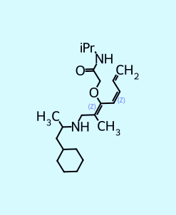 C=C/C=C\C(OCC(=O)NC(C)C)=C(/C)CNC(C)CC1CCCCC1